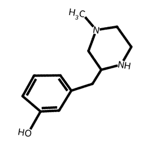 CN1CCNC(Cc2cccc(O)c2)C1